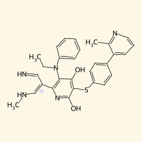 CCN(c1ccccc1)c1c(/C(C=N)=C/NC)nc(O)c(Sc2ccc(-c3cccnc3C)cc2)c1O